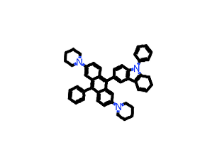 C1=Cc2c(n(-c3ccccc3)c3ccc(-c4c5ccc(N6CCCCC6)cc5c(-c5ccccc5)c5ccc(N6CCCCC6)cc45)cc23)CC1